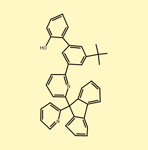 CC(C)(C)c1cc(-c2cccc(C3(c4ccccn4)c4ccccc4-c4ccccc43)n2)cc(-c2ccccc2O)c1